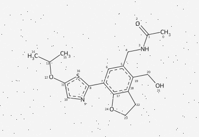 CC(=O)NCc1cc(-c2ncc(OC(C)C)s2)c2c(c1CO)CCO2